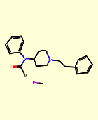 CCC(=O)N(c1ccccc1)C1CCN(CCc2ccccc2)CC1.CI